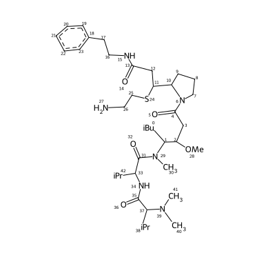 CCC(C)C(C(CC(=O)N1CCCC1C(CC(=O)NCCc1ccccc1)SCCN)OC)N(C)C(=O)C(NC(=O)C(C(C)C)N(C)C)C(C)C